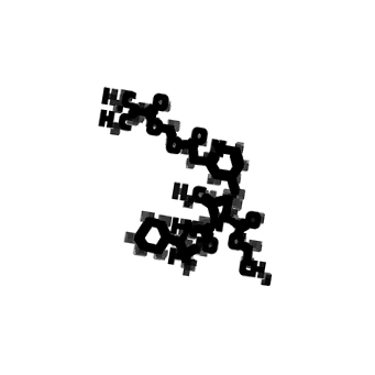 C=C1[C@H](Cc2ccnc(CC(=O)OCOC(=O)C(C)C)c2)[C@@H](C(=O)OCC)N1C(=O)N[C@@H](C1CCCCC1)C(F)(F)F